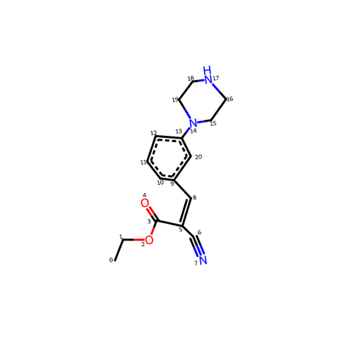 CCOC(=O)C(C#N)=Cc1cccc(N2CCNCC2)c1